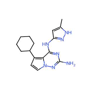 Cc1cc(Nc2nc(N)nn3ccc(C4CCCCC4)c23)n[nH]1